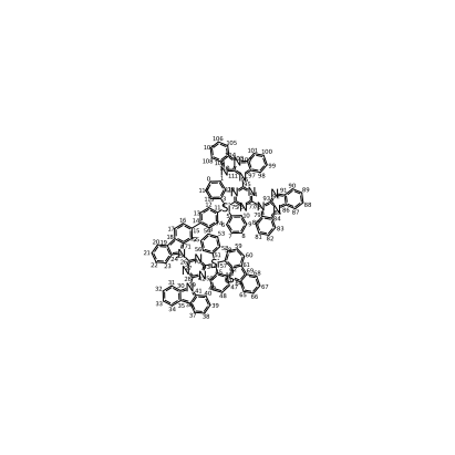 c1ccc([Si](c2ccccc2)(c2ccc(-c3ccc4c5ccccc5n(-c5nc(-n6c7ccccc7c7ccccc76)nc([Si](c6ccccc6)(c6ccccc6)c6cccc7c6sc6ccccc67)n5)c4c3)cc2)c2nc(-n3c4ccccc4n4c5ccccc5nc34)nc(-n3c4ccccc4n4c5ccccc5nc34)n2)cc1